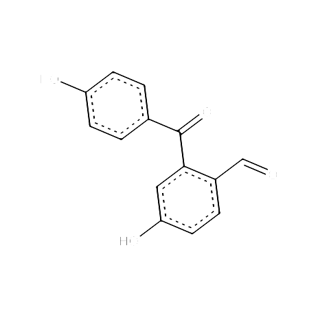 O=[C]c1ccc(O)cc1C(=O)c1ccc(O)cc1